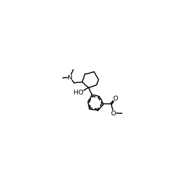 COC(=O)c1cccc(C2(O)CCCCC2CN(C)C)c1